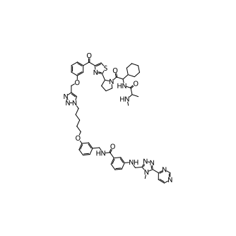 CNC(C)C(=O)NC(C(=O)N1CCCC1c1nc(C(=O)c2cccc(OCc3cn(CCCCCOc4cccc(CNC(=O)c5cccc(NCc6nnc(-c7ccncn7)n6C)c5)c4)nn3)c2)cs1)C1CCCCC1